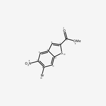 COC(=O)c1cc2cc([N+](=O)[O-])c(Br)cc2s1